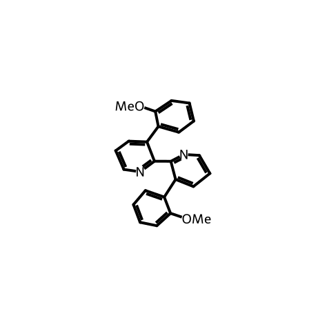 COc1ccccc1-c1cccnc1-c1ncccc1-c1ccccc1OC